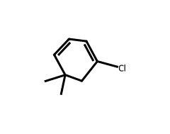 CC1(C)C=CC=C(Cl)C1